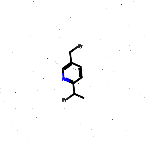 CC(C)Cc1ccc(C(C)C(C)C)nc1